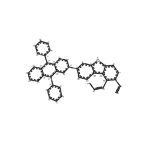 C=Cc1ccc2oc3cc(-c4ccc5c(-c6ccccc6)c6ccccc6c(-c6ccccc6)c5c4)ccc3c2c1/C=C\C